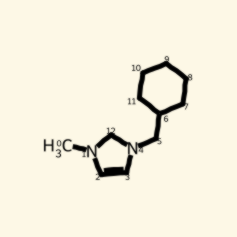 CN1C=CN(CC2CCCCC2)C1